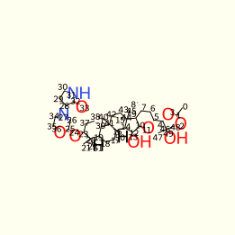 CC(=O)O[C@@H](C1C[C@@H](C)C2C(O1)[C@H](O)[C@@]1(C)[C@@H]3CC[C@H]4C(C)(C)[C@@H](OC5CN([C@H]6CCNC6=O)CCO5)CC[C@@]45CC35CC[C@]21C)C(C)(C)O